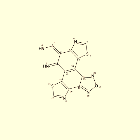 N=C1/C(=N\S)c2ncsc2-c2c1c1scnc1c1nonc21